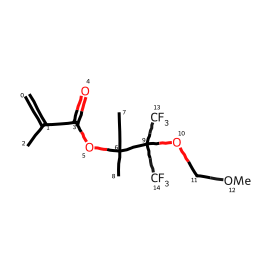 C=C(C)C(=O)OC(C)(C)C(OCOC)(C(F)(F)F)C(F)(F)F